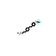 CCCCC1CCC(CCc2ccc(OC(F)(F)C(F)(F)F)cc2)CC1